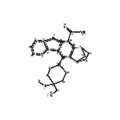 COC1(CO)CCN(c2c3c(c(C(N)=O)c4nc5ccccc5n24)C2CCC3C2)CC1